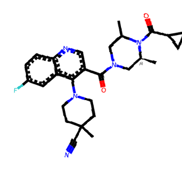 CC1CN(C(=O)c2cnc3ccc(F)cc3c2N2CCC(C)(C#N)CC2)C[C@H](C)N1C(=O)C1CC1